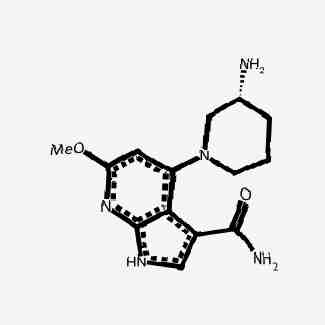 COc1cc(N2CCC[C@@H](N)C2)c2c(C(N)=O)c[nH]c2n1